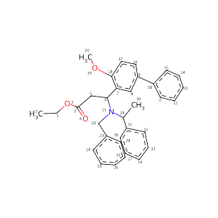 CCOC(=O)CC(c1cc(-c2ccccc2)ccc1OC)N(Cc1ccccc1)C(C)c1ccccc1